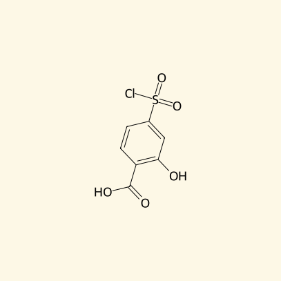 O=C(O)c1ccc(S(=O)(=O)Cl)cc1O